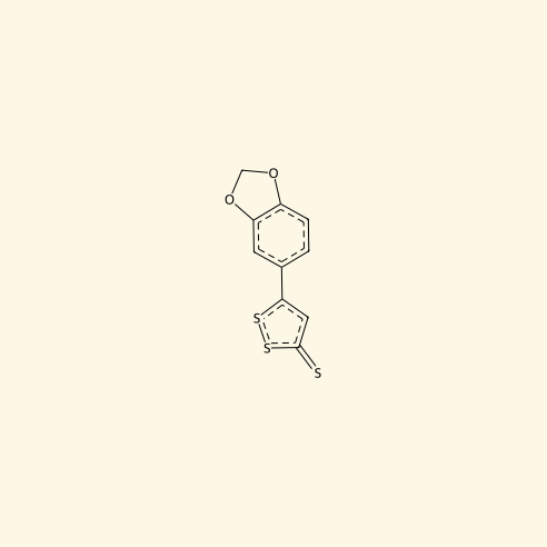 S=c1cc(-c2ccc3c(c2)OCO3)ss1